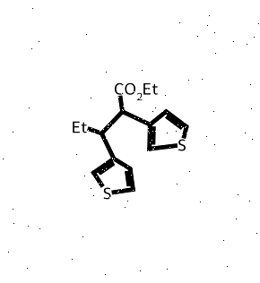 CCOC(=O)C(c1ccsc1)C(CC)c1ccsc1